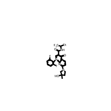 CCC(NC(=O)c1cn(-c2c(F)cccc2F)c2nc(N3CCC(C)(O)C3)ccc2c1=O)C(F)(F)F